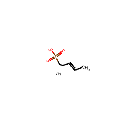 C/C=C/CS(=O)(=O)O.[LiH]